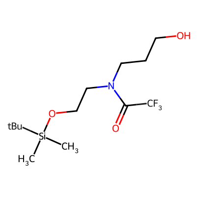 CC(C)(C)[Si](C)(C)OCCN(CCCO)C(=O)C(F)(F)F